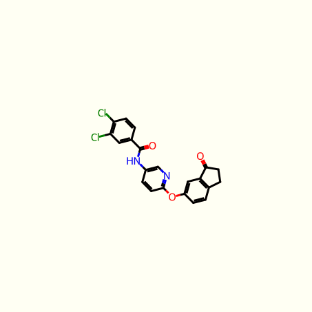 O=C(Nc1ccc(Oc2ccc3c(c2)C(=O)CC3)nc1)c1ccc(Cl)c(Cl)c1